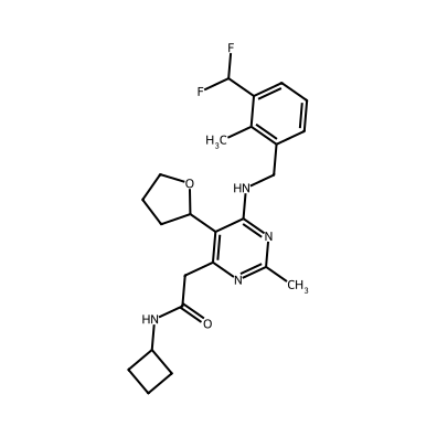 Cc1nc(CC(=O)NC2CCC2)c(C2CCCO2)c(NCc2cccc(C(F)F)c2C)n1